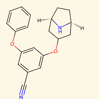 N#Cc1cc(Oc2ccccc2)cc(OC2C[C@H]3CC[C@@H](C2)N3)c1